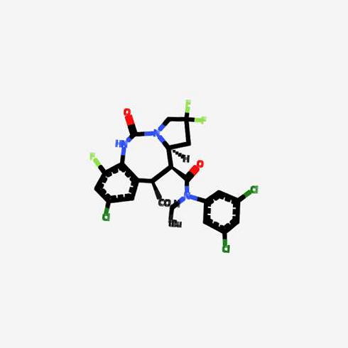 CC(C)(C)CN(C(=O)[C@H]1[C@@H](C(=O)O)c2cc(Cl)cc(F)c2NC(=O)N2CC(F)(F)C[C@@H]12)c1cc(Cl)cc(Cl)c1